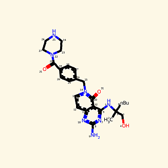 CCCCC(C)(CO)Nc1nc(N)nc2ccn(Cc3ccc(C(=O)N4CCNCC4)cc3)c(=O)c12